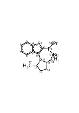 CC[C@H](C)P(c1sc2ccccc2c1P1[C@@H](C)CC[C@@H]1C)C(C)C